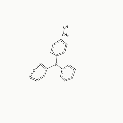 CC#N.c1ccc(P(c2ccccc2)c2ccccc2)cc1